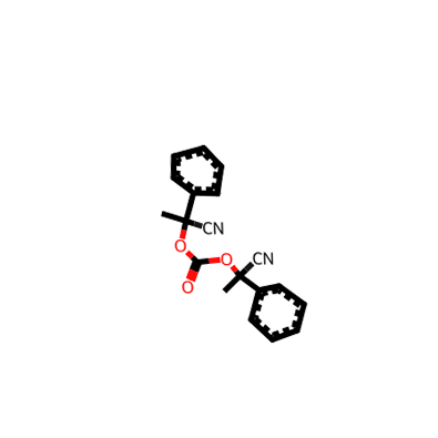 CC(C#N)(OC(=O)OC(C)(C#N)c1ccccc1)c1ccccc1